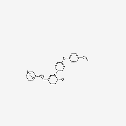 Cc1ccc(Oc2ccc(-n3cc(CNC4CN5CCC4CC5)ccc3=O)cc2)cc1